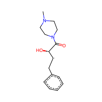 CN1CCN(C(=O)[C@H](O)[CH]Cc2ccccc2)CC1